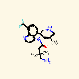 C[C@@H]1CNC[C@](NC(=O)CC(C)(C)CN)(c2ccc(C(F)F)c3ncccc23)C1